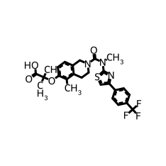 Cc1c(OC(C)(C)C(=O)O)ccc2c1CCN(C(=O)N(C)c1nc(-c3ccc(C(F)(F)F)cc3)cs1)C2